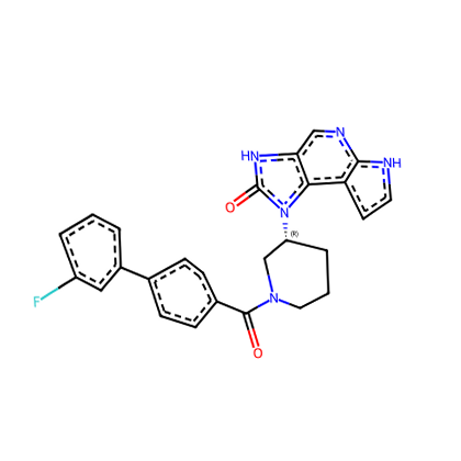 O=C(c1ccc(-c2cccc(F)c2)cc1)N1CCC[C@@H](n2c(=O)[nH]c3cnc4[nH]ccc4c32)C1